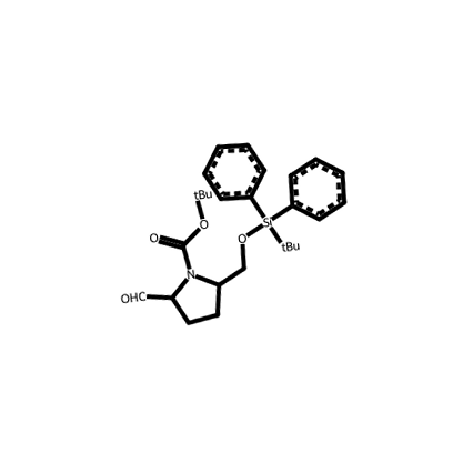 CC(C)(C)OC(=O)N1C(C=O)CCC1CO[Si](c1ccccc1)(c1ccccc1)C(C)(C)C